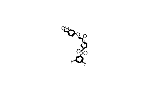 O=C(COc1ccc(CO)cc1)N1CCC(S(=O)(=O)c2cc(F)cc(F)c2)C1